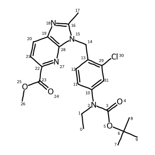 CCN(C(=O)OC(C)(C)C)c1ccc(Cn2c(C)nc3ccc(C(=O)OC)nc32)c(Cl)c1